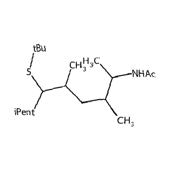 CCCC(C)C(SC(C)(C)C)C(C)CC(C)C(C)NC(C)=O